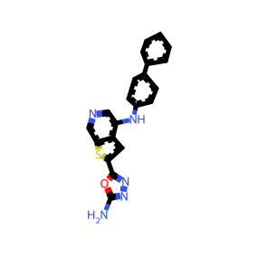 Nc1nnc(-c2cc3c(Nc4ccc(-c5ccccc5)cc4)cncc3s2)o1